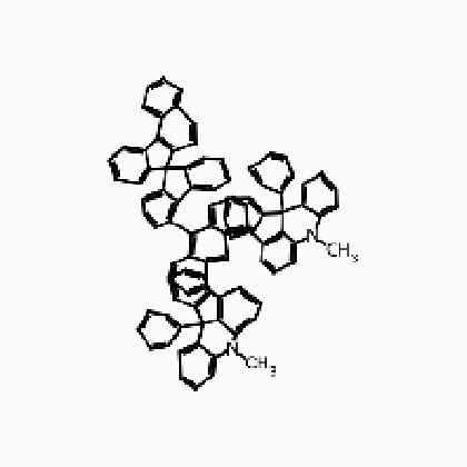 CN1c2ccccc2C(c2ccccc2)(c2ccccc2)c2c(-c3cccc4c(-c5cccc6c5-c5ccccc5C65c6ccccc6-c6c5ccc5ccccc65)c5cccc(-c6cccc7c6C(c6ccccc6)(c6ccccc6)c6ccccc6N7C)c5cc34)cccc21